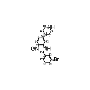 O=Nc1ccc(N2CCNCC2)cc1NCc1cccc(Br)c1